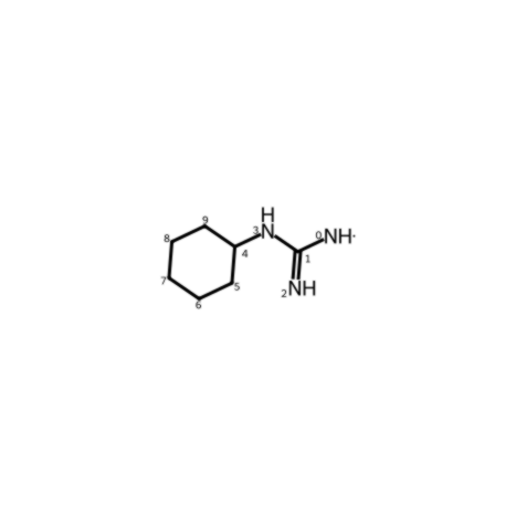 [NH]C(=N)NC1CCCCC1